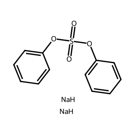 O=S(=O)(Oc1ccccc1)Oc1ccccc1.[NaH].[NaH]